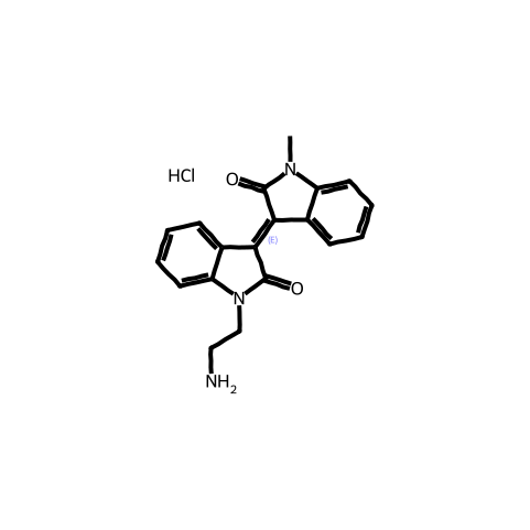 CN1C(=O)/C(=C2/C(=O)N(CCN)c3ccccc32)c2ccccc21.Cl